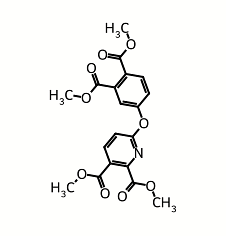 COC(=O)c1ccc(Oc2ccc(C(=O)OC)c(C(=O)OC)n2)cc1C(=O)OC